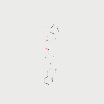 NC(=O)[C@@H](Cc1cc(Cl)c(N)c(C(F)(F)F)c1)OC(=O)N1CCC(N2Cc3ccccc3NC2=O)CC1